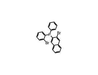 Brc1ccccc1P(c1ccccc1)c1cc2ccccc2cc1Br